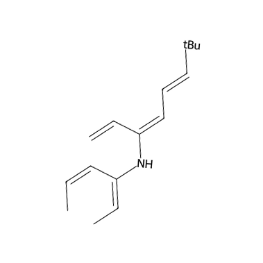 C=C/C(=C\C=C\C(C)(C)C)NC(/C=C\C)=C/C